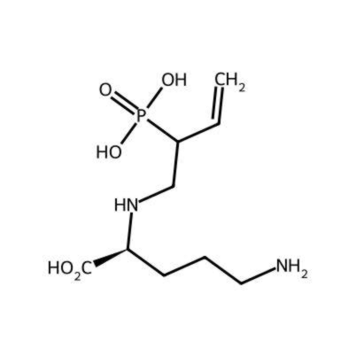 C=CC(CN[C@@H](CCCN)C(=O)O)P(=O)(O)O